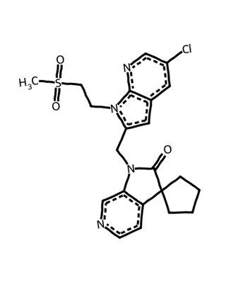 CS(=O)(=O)CCn1c(CN2C(=O)C3(CCCC3)c3ccncc32)cc2cc(Cl)cnc21